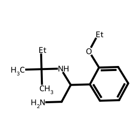 CCOc1ccccc1C(CN)NC(C)(C)CC